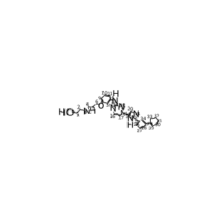 OCCNCCCOc1cccc(Nc2nccc(-c3cnc(-c4cccc(-c5ccccc5)c4)[nH]3)n2)c1